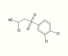 N#CC(Cl)CS(=O)(=O)c1ccc(Cl)c(Cl)c1